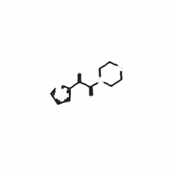 O=C(C(=O)N1CCNCC1)c1ccco1